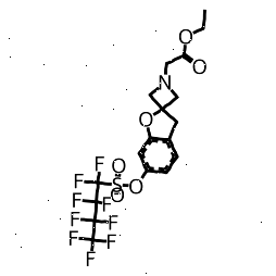 CCOC(=O)CN1CC2(Cc3ccc(OS(=O)(=O)C(F)(F)C(F)(F)C(F)(F)C(F)(F)F)cc3O2)C1